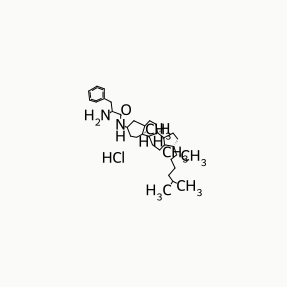 CC(C)CCC[C@@H](C)[C@H]1CC[C@H]2[C@@H]3CCC4C[C@H](NC(=O)[C@@H](N)Cc5ccccc5)CC[C@]4(C)[C@H]3CC[C@]12C.Cl